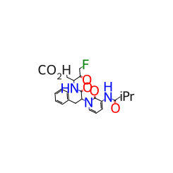 CC(C)C(=O)Nc1cccn(C(Cc2ccccc2)C(=O)NC(CC(=O)O)C(=O)CF)c1=O